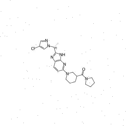 C[C@H](c1nc2ccc(N3CCCC(C(=O)N4CCCC4)C3)nc2[nH]1)n1cc(Cl)cn1